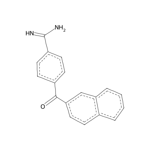 N=C(N)c1ccc(C(=O)c2ccc3ccccc3c2)cc1